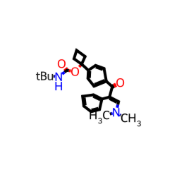 CN(C)/C=C(/C(=O)c1ccc(C2(OC(=O)NC(C)(C)C)CCC2)cc1)c1ccccc1